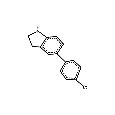 CCc1ccc(-c2ccc3c(c2)CCN3)cc1